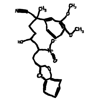 COc1ccc(C(C)(C#N)CCC(O)C(CC2Oc3ccccc3O2)[N+](=O)[O-])cc1OC